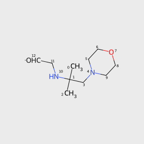 CC(C)(CN1CCOCC1)NC[C]=O